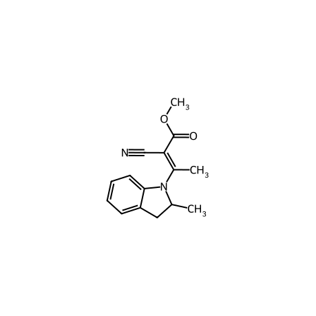 COC(=O)C(C#N)=C(C)N1c2ccccc2CC1C